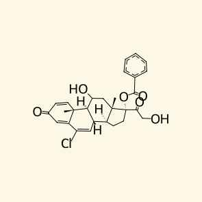 C[C@]12C=CC(=O)C=C1C(Cl)=C[C@@H]1[C@@H]2C(O)C[C@@]2(C)[C@H]1CC[C@]2(OC(=O)c1ccccc1)C(=O)CO